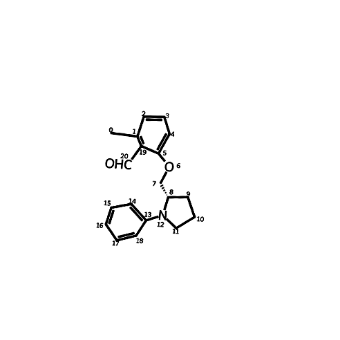 Cc1cccc(OC[C@@H]2CCCN2c2ccccc2)c1C=O